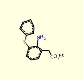 CCOC(=O)Cc1cccc(Sc2ccccc2)c1N